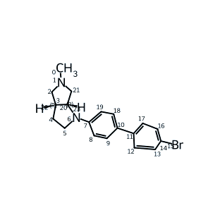 CN1C[C@H]2CCN(c3ccc(-c4ccc(Br)cc4)cc3)[C@H]2C1